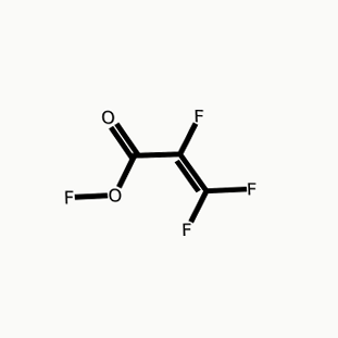 O=C(OF)C(F)=C(F)F